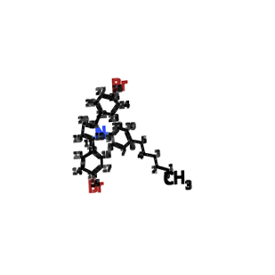 CCCCCCc1ccc(-n2c(-c3ccc(Br)cc3)ccc2-c2ccc(Br)cc2)cc1